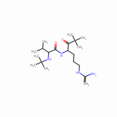 C=C(N)NCCCC(NC(=O)C(NC(C)(C)C)C(C)C)C(=O)C(C)(C)C